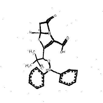 CC(C)(C)C(O[SiH](c1ccccc1)c1ccccc1)C1=C(C(=O)O)N2C(=O)C[C@H]2S1